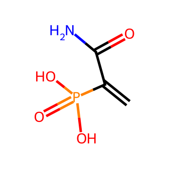 C=C(C(N)=O)P(=O)(O)O